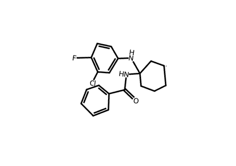 O=C(NC1(Nc2ccc(F)c(Cl)c2)C[CH]CCC1)c1ccccc1